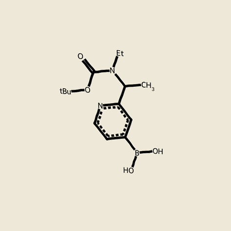 CCN(C(=O)OC(C)(C)C)C(C)c1cc(B(O)O)ccn1